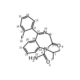 CC(C)[N+]1(C(N)=O)C(=O)[CH]N=C(c2ccccc2F)c2ccccc21